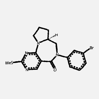 CSc1ncc2c(n1)N1CCC[C@H]1CN(c1cccc(Br)c1)C2=O